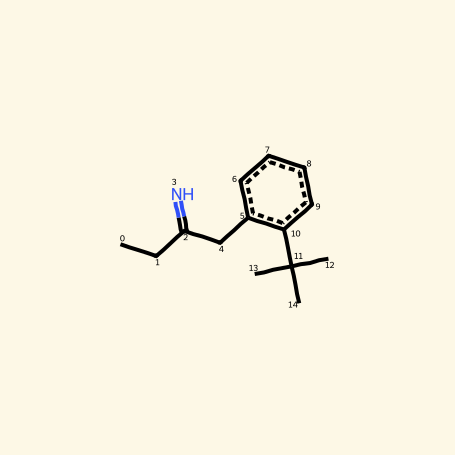 CCC(=N)Cc1ccccc1C(C)(C)C